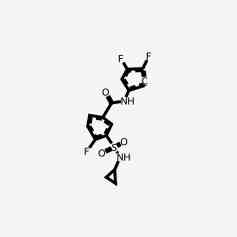 O=C(Nc1ccc(F)c(F)c1)c1ccc(F)c(S(=O)(=O)NC2CC2)c1